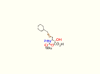 CC(C)(C)OC(=O)N[C@@H](CSCC1CCCCC1)C(O)C(=O)O